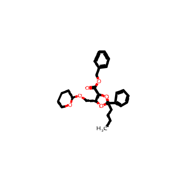 CCCCC1(c2ccccc2)OC(COC2CCCCO2)C(C(=O)OCc2ccccc2)O1